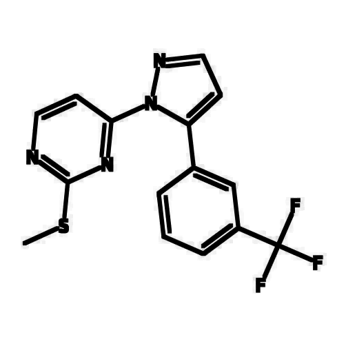 CSc1nccc(-n2nccc2-c2cccc(C(F)(F)F)c2)n1